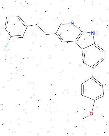 COc1ccc(-c2ccc3[nH]c4ncc(CCc5cccc(F)c5)cc4c3c2)cc1